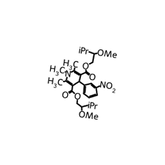 COC(COC(=O)C1=C(C)N(C)C(C)=C(C(=O)OCC(OC)C(C)C)C1c1cccc([N+](=O)[O-])c1)C(C)C